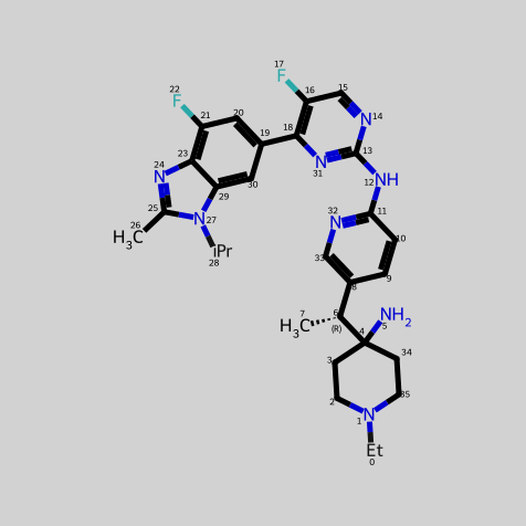 CCN1CCC(N)([C@H](C)c2ccc(Nc3ncc(F)c(-c4cc(F)c5nc(C)n(C(C)C)c5c4)n3)nc2)CC1